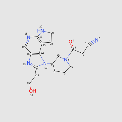 N#CCC(=O)N1CCCC(n2c(CCO)nc3cnc4[nH]ccc4c32)C1